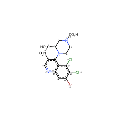 O=C(O)[C@H]1CN(C(=O)O)CCN1c1c([N+](=O)[O-])cnc2cc(Br)c(Cl)c(Cl)c12